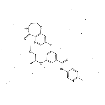 COC[C@H](C)Oc1cc(Oc2cnc3c(c2)OCCN(C)C3=O)cc(C(=O)Nc2cnc(C)cn2)c1